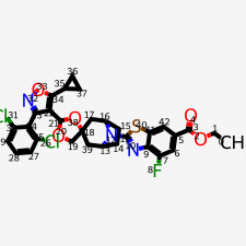 CCOC(=O)c1cc(F)c2nc(N3C4CCC3CC3(COC(c5c(-c6c(Cl)cccc6Cl)noc5C5CC5)O3)C4)sc2c1